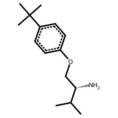 CC(C)[C@@H](N)COc1ccc(C(C)(C)C)cc1